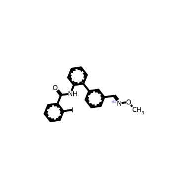 CO/N=C/c1cccc(-c2ccccc2NC(=O)c2ccccc2I)c1